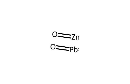 [O]=[Pb].[O]=[Zn]